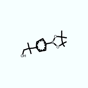 CC(C)(CO)c1ccc(B2OC(C)(C)C(C)(C)O2)cc1